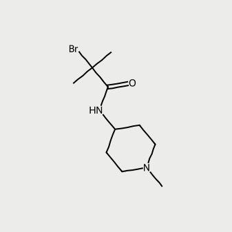 CN1CCC(NC(=O)C(C)(C)Br)CC1